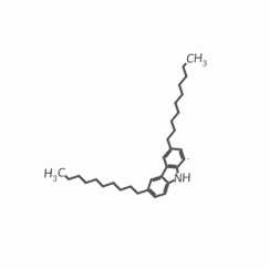 CCCCCCCCCCc1c[c]c2[nH]c3ccc(CCCCCCCCCC)cc3c2c1